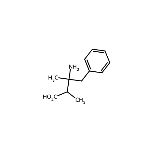 CC(C(=O)O)C(C)(N)Cc1ccccc1